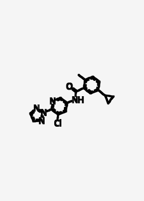 Cc1ccc(C2CC2)cc1C(=O)Nc1cnc(-n2nccn2)c(Cl)c1